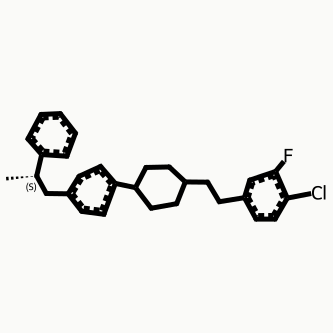 C[C@@H](Cc1ccc(C2CCC(CCc3ccc(Cl)c(F)c3)CC2)cc1)c1ccccc1